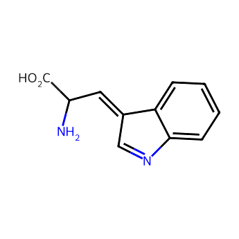 NC(C=C1C=Nc2ccccc21)C(=O)O